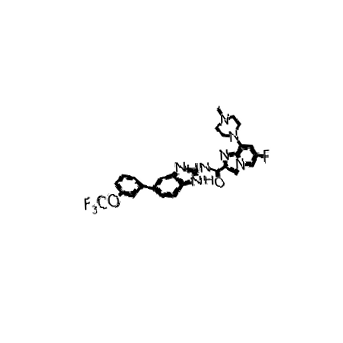 CN1CCN(c2cc(F)cn3cc(C(=O)Nc4nc5cc(-c6cccc(OC(F)(F)F)c6)ccc5[nH]4)nc23)CC1